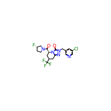 O=C([C@@H]1CC(C(F)(F)F)Cc2nn(Cc3cncc(Cl)c3)c(=O)n21)N1CC[C@H](F)C1